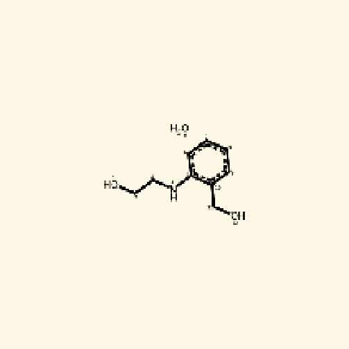 O.OCCNc1ccccc1CO